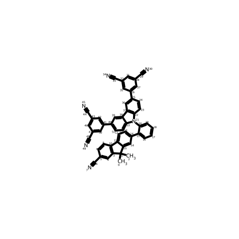 CC1(C)c2cc(C#N)ccc2-c2ccc(-c3ccccc3-n3c4ccc(-c5cc(C#N)cc(C#N)c5)cc4c4cc(-c5cc(C#N)cc(C#N)c5)ccc43)cc21